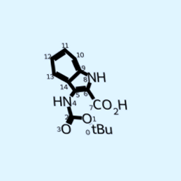 CC(C)(C)OC(=O)Nc1c(C(=O)O)[nH]c2ccccc12